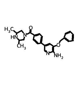 CC1CN(C(=O)c2ccc(-c3cnc(N)c(OCc4ccccc4)c3)cc2)CC(C)N1